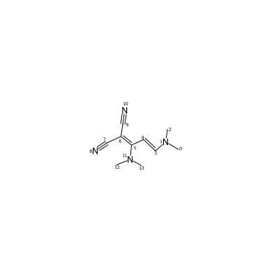 CN(C)C=CC(=C(C#N)C#N)N(C)C